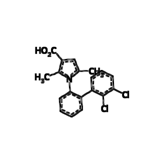 Cc1cc(C(=O)O)c(C)n1-c1ccccc1-c1cccc(Cl)c1Cl